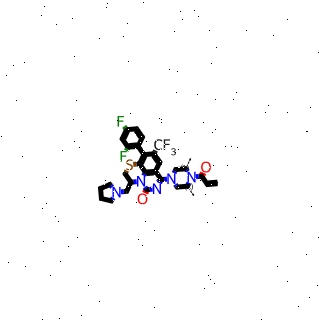 C=CC(=O)N1[C@H](C)CN(c2nc(=O)n3c4c(c(-c5ccc(F)cc5F)c(C(F)(F)F)cc24)SCC3CN2CCCC2)C[C@@H]1C